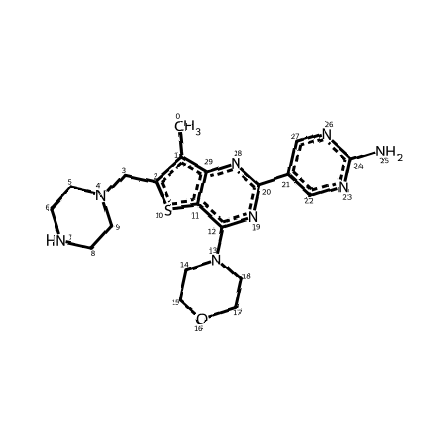 Cc1c(CN2CCNCC2)sc2c(N3CCOCC3)nc(-c3cnc(N)nc3)nc12